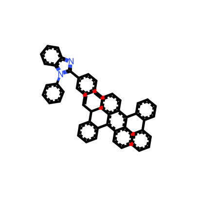 C1=CCC(c2ccccc2-c2c3ccccc3c(-c3ccccc3-c3ccccc3)c3ccc(-c4ccc(-c5nc6ccccc6n5-c5ccccc5)cc4)cc23)C=C1